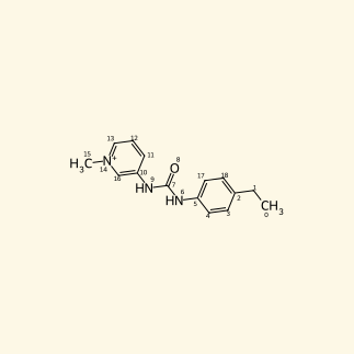 CCc1ccc(NC(=O)Nc2ccc[n+](C)c2)cc1